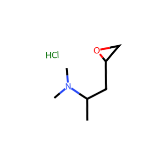 CC(CC1CO1)N(C)C.Cl